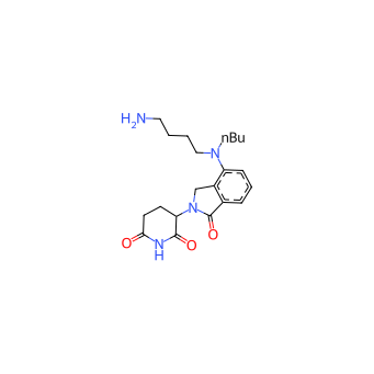 CCCCN(CCCCN)c1cccc2c1CN(C1CCC(=O)NC1=O)C2=O